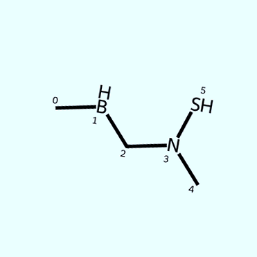 CBCN(C)S